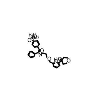 NS(=O)(=O)c1ccc(-c2oc(CCOCc3cccc(C4(O)CCOCC4)n3)nc2-c2ccccc2)cc1